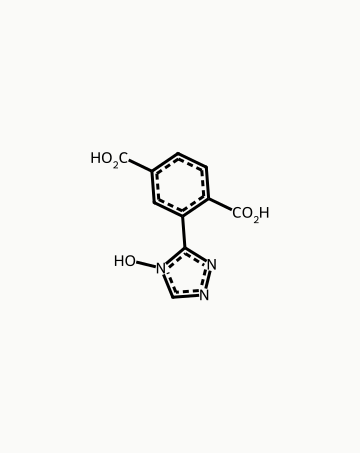 O=C(O)c1ccc(C(=O)O)c(-c2nncn2O)c1